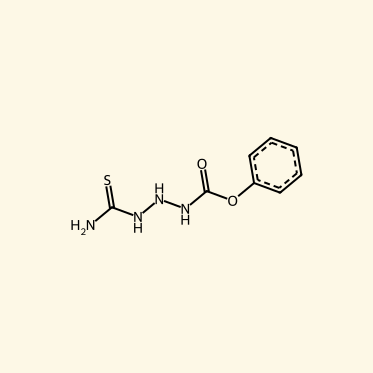 NC(=S)NNNC(=O)Oc1ccccc1